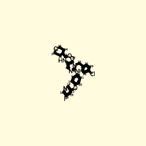 O=C(Nc1cnc(Nc2ccc(Oc3cncc(F)c3)cc2)n(Cc2ccc(Cl)cc2)c1=O)C1CCOCC1